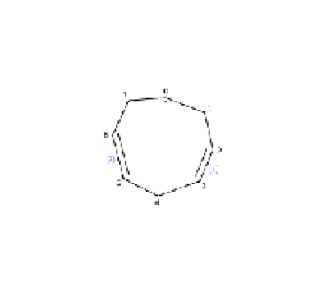 [CH]1C/C=C\C/C=C\C1